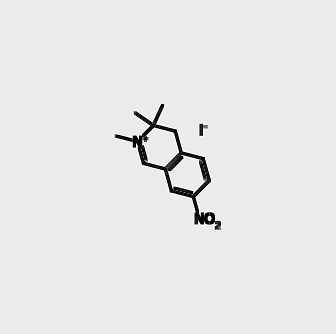 C[N+]1=Cc2cc([N+](=O)[O-])ccc2CC1(C)C.[I-]